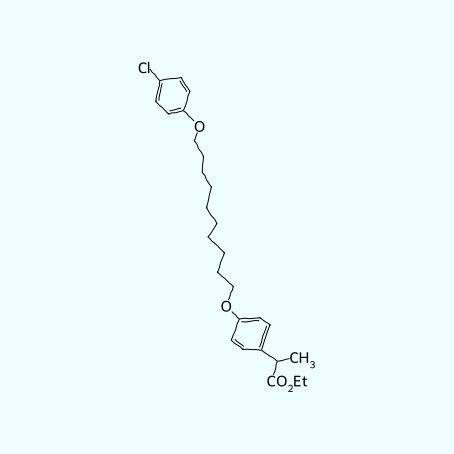 CCOC(=O)C(C)c1ccc(OCCCCCCCCCCOc2ccc(Cl)cc2)cc1